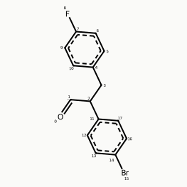 O=[C]C(Cc1ccc(F)cc1)c1ccc(Br)cc1